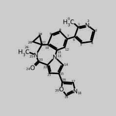 Cc1ncccc1-c1ccc2c(c1)-n1cc(-c3cnco3)cc1C(=O)N(C)C21CC1